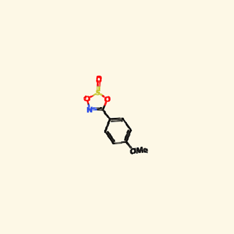 COc1ccc(C2=NOS(=O)O2)cc1